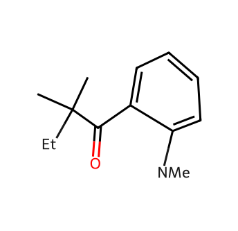 CCC(C)(C)C(=O)c1ccccc1NC